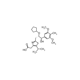 COc1cc([C@@H](O)[C@H](Cc2nc(CC(=O)O)c(C(C)C)s2)OC2CCCC2)cc(OC)c1C